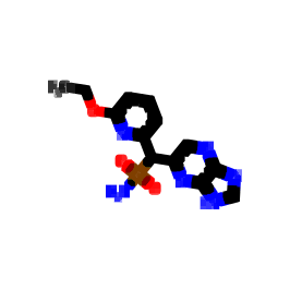 NS(=O)(=O)C(c1cccc(OCC(F)(F)F)n1)c1cnc2nc[nH]c2n1